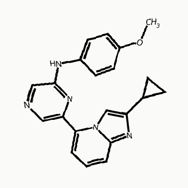 COc1ccc(Nc2cncc(-c3cccc4nc(C5CC5)cn34)n2)cc1